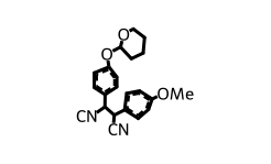 [C-]#[N+]C(c1ccc(OC2CCCCO2)cc1)C(C#N)c1ccc(OC)cc1